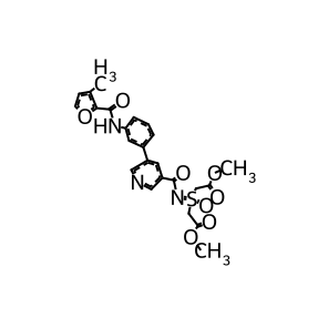 COC(=O)CS(=O)(CC(=O)OC)=NC(=O)c1cncc(-c2cccc(NC(=O)c3occc3C)c2)c1